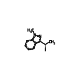 CC(I)c1nn(C)c2ccccc12